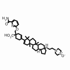 CC1(C)C(C2=CCC(COc3cccc(C(N)=O)n3)(C(=O)O)CC2)=CCC2(C)C1CCC1(C)C3CCC4(NCCN5CC[S+]([O-])CC5)CCC[C@@H]4C3CCC12